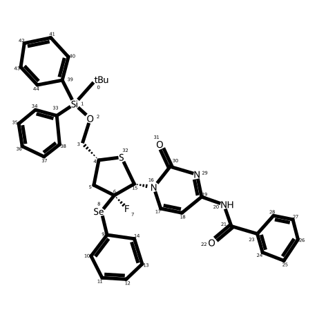 CC(C)(C)[Si](OC[C@H]1C[C@](F)([Se]c2ccccc2)[C@@H](n2ccc(NC(=O)c3ccccc3)nc2=O)S1)(c1ccccc1)c1ccccc1